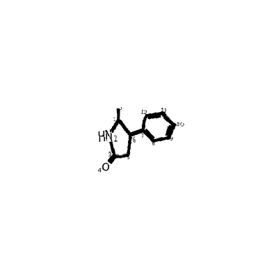 CC1NC(=O)CC1c1ccccc1